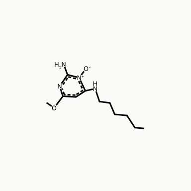 CCCCCCNc1cc(OC)nc(N)[n+]1[O-]